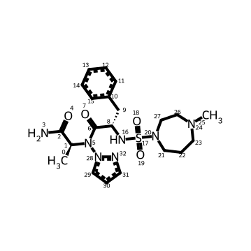 C[C@@H](C(N)=O)N(C(=O)[C@H](Cc1ccccc1)NS(=O)(=O)N1CCCN(C)CC1)n1cccn1